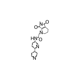 CN1C(=O)C2=C(C1=O)N(CC(=O)Nc1ccc(-c3ccncc3)nc1)CCC2